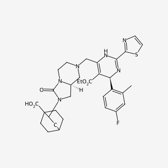 CCOC(=O)C1=C(CN2CCN3C(=O)N(C4CC5CCC4(C(=O)O)CC5)C[C@@H]3C2)NC(c2nccs2)=N[C@H]1c1ccc(F)cc1C